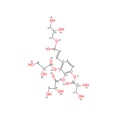 O=C(C=Cc1ccc(OC(=O)C(O)CO)c(OC(=O)C(O)CO)c1OC(=O)C(O)CO)OCC(O)CO